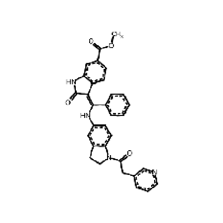 COC(=O)c1ccc2c(c1)NC(=O)/C2=C(\Nc1ccc2c(c1)CCN2C(=O)Cc1cccnc1)c1ccccc1